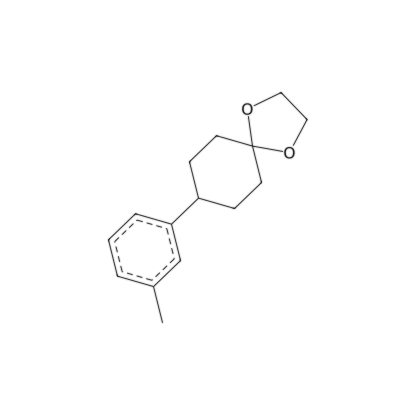 Cc1cccc(C2CCC3(CC2)OCCO3)c1